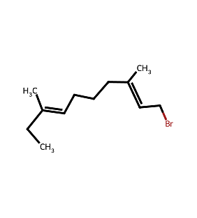 CCC(C)=CCCCC(C)=CCBr